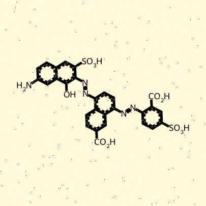 Nc1ccc2cc(S(=O)(=O)O)c(/N=N/c3ccc(/N=N/c4ccc(S(=O)(=O)O)cc4C(=O)O)c4cc(C(=O)O)ccc34)c(O)c2c1